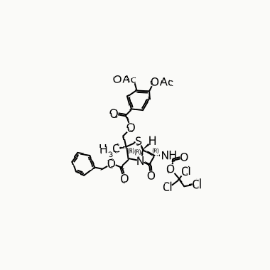 CC(=O)Oc1ccc(C(=O)OC[C@]2(C)S[C@@H]3[C@H](NC(=O)OC(Cl)(Cl)CCl)C(=O)N3C2C(=O)OCc2ccccc2)cc1OC(C)=O